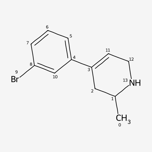 CC1CC(c2cccc(Br)c2)=CCN1